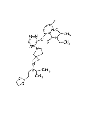 CCN(C(=O)c1cc(F)ccc1Oc1nncnc1N1CCC2(C1)CN([C@H](CCC1OCCO1)C(C)C)C2)C(C)C